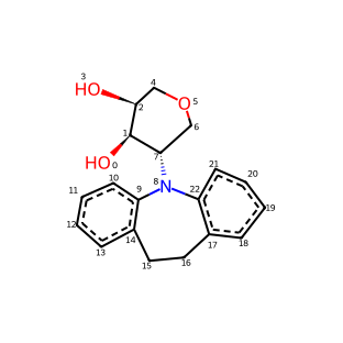 O[C@H]1[C@@H](O)COC[C@@H]1N1c2ccccc2CCc2ccccc21